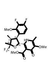 COC(=O)c1c([C@@H]2O[C@@](C)(C(F)(F)F)[C@@H](C)[C@H]2c2ccc(F)c(F)c2OC)[nH]c(C)c(OC)c1=O